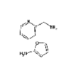 NCc1ccccn1.Nc1ccco1